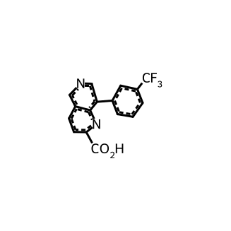 O=C(O)c1ccc2cncc(-c3cccc(C(F)(F)F)c3)c2n1